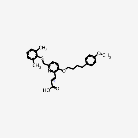 COc1ccc(CCCCOc2ccc(CSc3c(C)cccc3C)nc2/C=C/C(=O)O)cc1